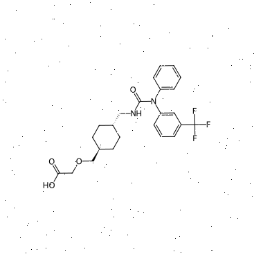 O=C(O)COC[C@H]1CC[C@H](CNC(=O)N(c2ccccc2)c2cccc(C(F)(F)F)c2)CC1